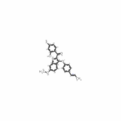 C/C=C/c1ccc(Oc2c(C(=O)c3ccc(F)cc3Cl)sc3cc(OC)ccc23)cc1